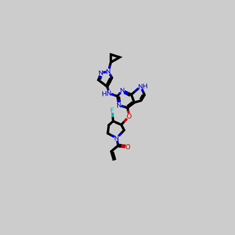 C=CC(=O)N1CCC(F)C(Oc2nc(Nc3cnn(C4CC4)c3)nc3[nH]ccc23)C1